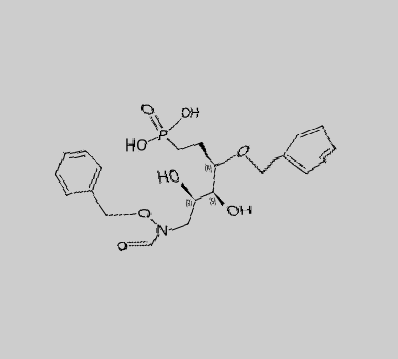 O=CN(C[C@@H](O)[C@H](O)[C@@H](CCP(=O)(O)O)OCc1ccccc1)OCc1ccccc1